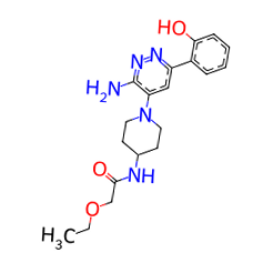 CCOCC(=O)NC1CCN(c2cc(-c3ccccc3O)nnc2N)CC1